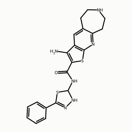 Nc1c(C(=O)NC2NN=C(c3ccccc3)S2)sc2nc3c(cc12)CCNCC3